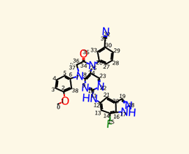 COc1cccc(N2c3nc(Nc4cc(F)c5[nH]ncc5c4)ncc3N(c3cccc(C#N)c3)C(=O)[C@H]2C)c1